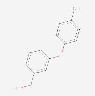 Nc1ccc(Oc2cccc(CO)c2)cc1